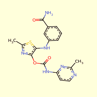 Cc1nccc(NC(=O)Oc2nc(C)sc2Nc2cccc(C(N)=O)c2)n1